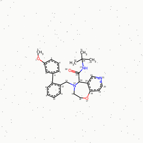 COc1cccc(-c2ccccc2CN2CCOc3ccncc3C2C(=O)NC(C)(C)C)c1